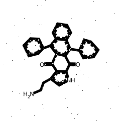 NCCc1c[nH]c2c1C(=O)c1c(c(-c3ccccc3)c3ccccc3c1-c1ccccc1)C2=O